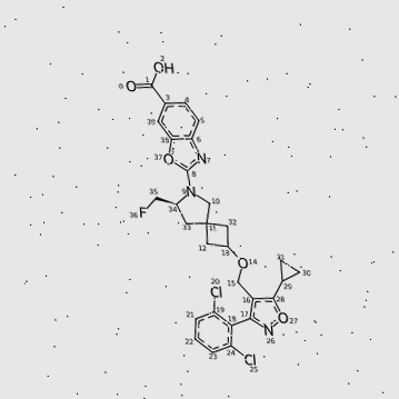 O=C(O)c1ccc2nc(N3CC4(CC(OCc5c(-c6c(Cl)cccc6Cl)noc5C5CC5)C4)C[C@H]3CF)oc2c1